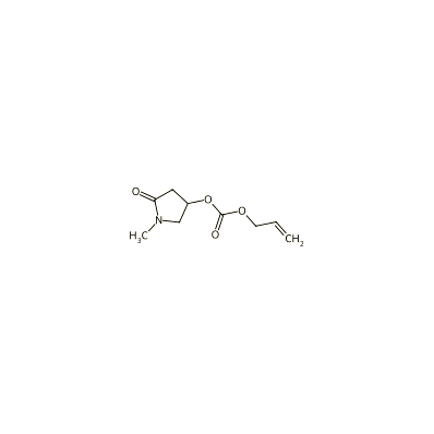 C=CCOC(=O)OC1CC(=O)N(C)C1